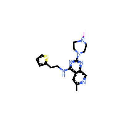 Cc1cc2c(NCCc3cccs3)nc(N3CCN(I)CC3)nc2cn1